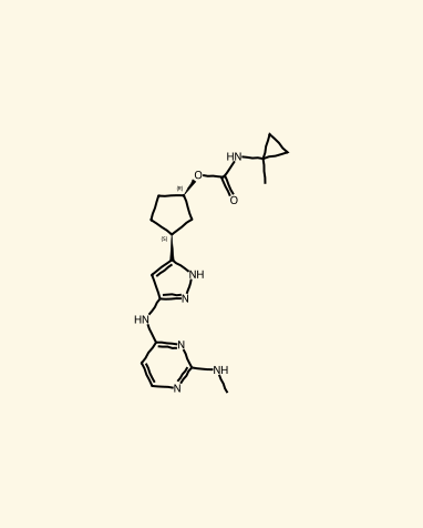 CNc1nccc(Nc2cc([C@H]3CC[C@@H](OC(=O)NC4(C)CC4)C3)[nH]n2)n1